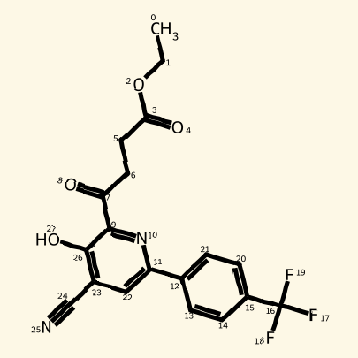 CCOC(=O)CCC(=O)c1nc(-c2ccc(C(F)(F)F)cc2)cc(C#N)c1O